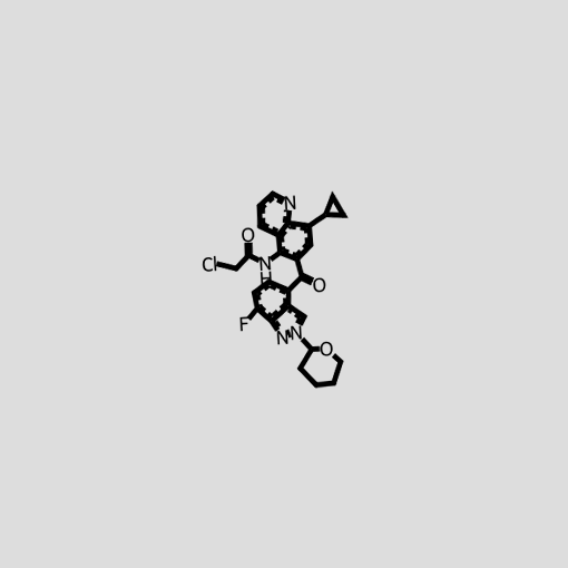 O=C(CCl)Nc1c(C(=O)c2ccc(F)c3nn(C4CCCCO4)cc23)cc(C2CC2)c2ncccc12